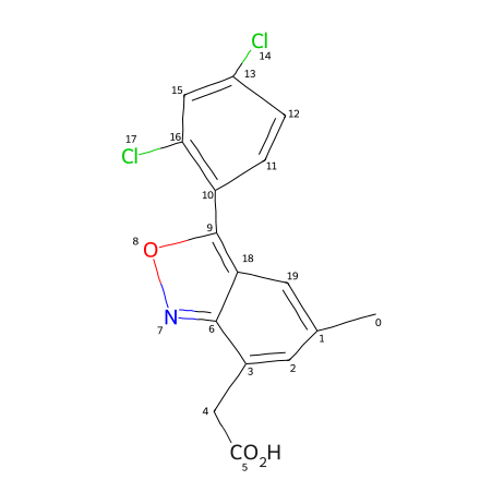 Cc1cc(CC(=O)O)c2noc(-c3ccc(Cl)cc3Cl)c2c1